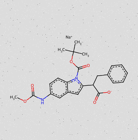 COC(=O)Nc1ccc2c(c1)cc(C(Cc1ccccc1)C(=O)[O-])n2C(=O)OC(C)(C)C.[Na+]